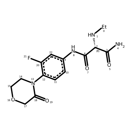 CCN[C@H](C(N)=O)C(=O)Nc1ccc(N2CCOCC2=O)c(F)c1